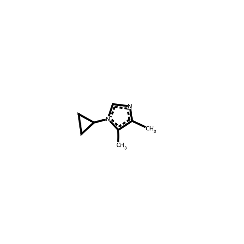 Cc1ncn(C2CC2)c1C